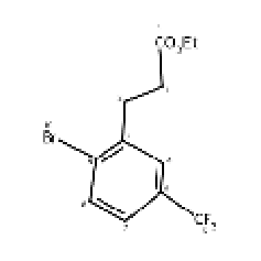 CCOC(=O)CCc1cc(C(F)(F)F)ccc1Br